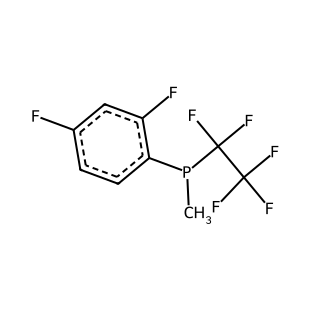 CP(c1ccc(F)cc1F)C(F)(F)C(F)(F)F